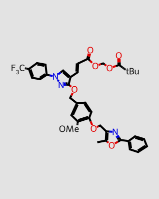 COc1cc(COc2nn(-c3ccc(C(F)(F)F)cc3)cc2C=CC(=O)OCOC(=O)C(C)(C)C)ccc1OCc1nc(-c2ccccc2)oc1C